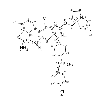 N#Cc1c(N)sc2c(F)ccc(-c3c(Cl)cc4c(N5CCC(C(=O)Oc6ccc(Cl)cc6)CC5)nc(OC[C@@]56CCCN5C[C@H](F)C6)nc4c3F)c12